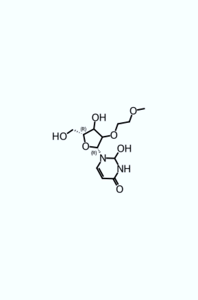 COCCOC1C(O)[C@@H](CO)O[C@H]1N1C=CC(=O)NC1O